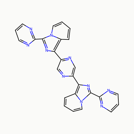 c1cnc(-c2nc(-c3cnc(-c4nc(-c5ncccn5)n5ccccc45)cn3)c3ccccn23)nc1